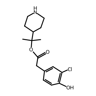 CC(C)(OC(=O)Cc1ccc(O)c(Cl)c1)C1CCNCC1